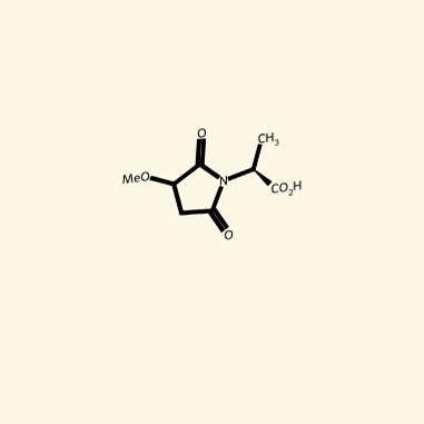 COC1CC(=O)N([C@@H](C)C(=O)O)C1=O